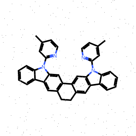 Cc1ccnc(-n2c3ccccc3c3cc4c(cc32)-c2cc3c(cc2CC4)c2ccccc2n3-c2cc(C)ccn2)c1